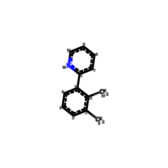 FC(F)(F)c1cccc(-c2ccc[c]n2)c1C(F)(F)F